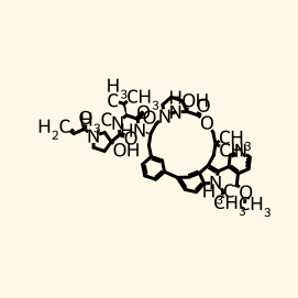 C=CC(=O)N1CCC(O)(C(=O)N(C)[C@H](C(=O)N[C@H]2Cc3cccc(c3)-c3ccc4c(c3)c(c(-c3cnccc3[C@H](C)OC)n4CC)CC(C)(C)COC(=O)[C@@]3(O)CCCN(N3)C2=O)C(C)C)C1